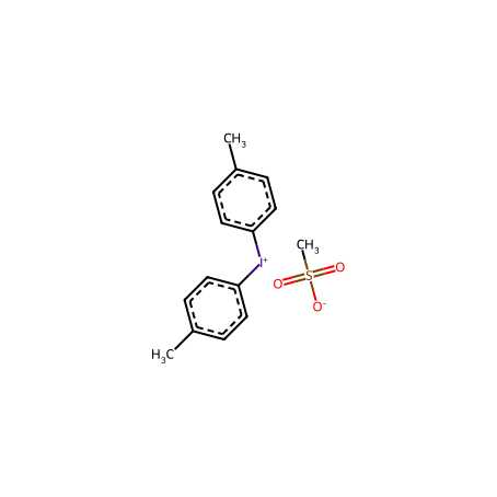 CS(=O)(=O)[O-].Cc1ccc([I+]c2ccc(C)cc2)cc1